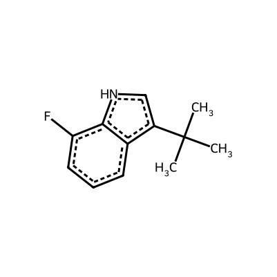 CC(C)(C)c1c[nH]c2c(F)cccc12